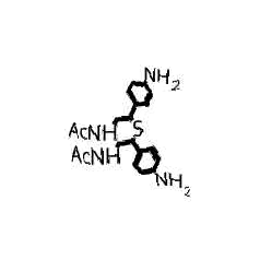 CC(=O)NCC(SC(CNC(C)=O)c1ccc(N)cc1)c1ccc(N)cc1